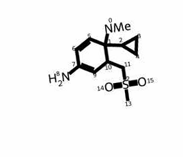 CNC1(C2CC2)C=CC(N)=CC1CS(C)(=O)=O